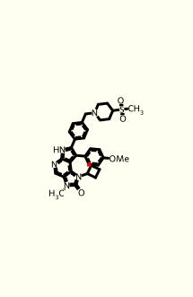 COc1ccc(-c2c(-c3ccc(CN4CCC(S(C)(=O)=O)CC4)cc3)[nH]c3ncc4c(c23)n(C2CCC2)c(=O)n4C)cc1